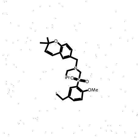 COc1ccc(CI)cc1S(=O)(=O)CN(Cc1ccc2c(c1)C=CC(C)(C)O2)CC(C)C